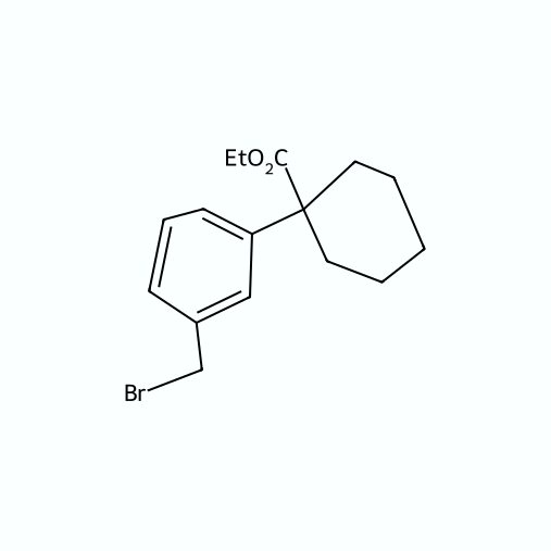 CCOC(=O)C1(c2cccc(CBr)c2)CCCCC1